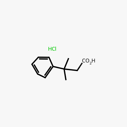 CC(C)(CC(=O)O)c1ccccc1.Cl